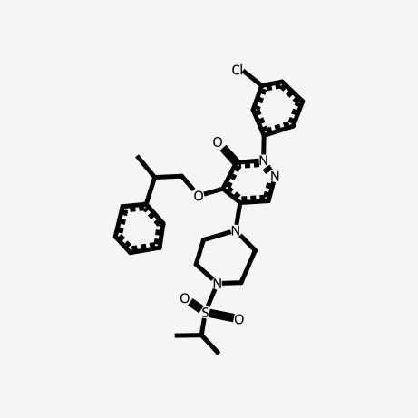 CC(COc1c(N2CCN(S(=O)(=O)C(C)C)CC2)cnn(-c2cccc(Cl)c2)c1=O)c1ccccc1